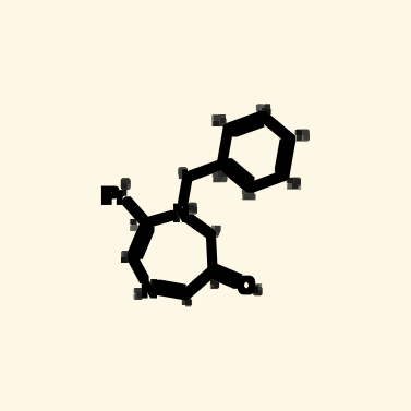 CC(C)C1=CN=CC(=O)CN1Cc1ccccc1